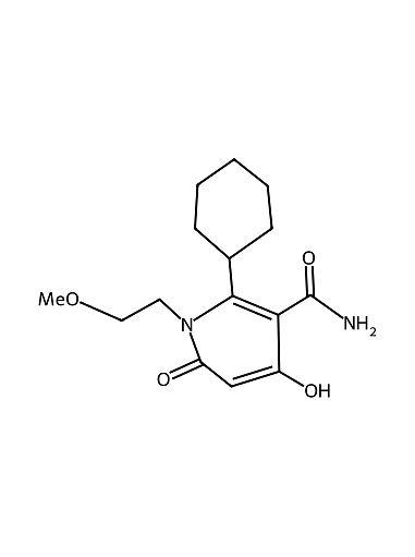 COCCn1c(C2CCCCC2)c(C(N)=O)c(O)cc1=O